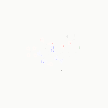 [2H]C([2H])([2H])O[C@@H](c1ccc2c(c(Nc3c/c(=N\C(=O)C4CC4)n(OP(=O)([O-])OC)cc3C(=O)OC)nn2C)c1OC)C(F)(F)F.[Na+]